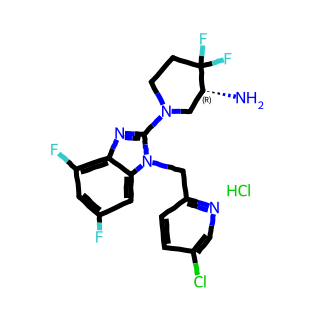 Cl.N[C@@H]1CN(c2nc3c(F)cc(F)cc3n2Cc2ccc(Cl)cn2)CCC1(F)F